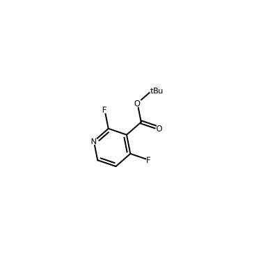 CC(C)(C)OC(=O)c1c(F)ccnc1F